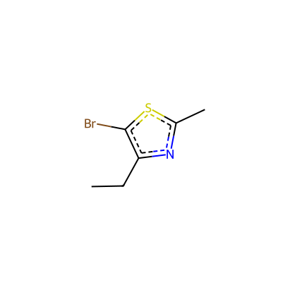 CCc1nc(C)sc1Br